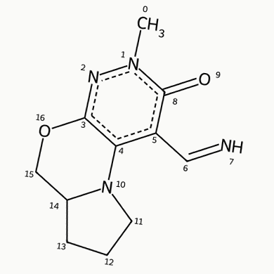 Cn1nc2c(c(C=N)c1=O)N1CCCC1CO2